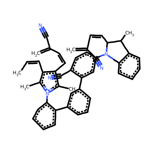 C=C(C#N)/C=C\c1c(/C=C\C)c(C)n(-c2ccccc2-c2cccc(-c3cc(N4c5ccccc5C(C)C4/C=C\C(=C)C#N)ccc3C#N)c2)c1C